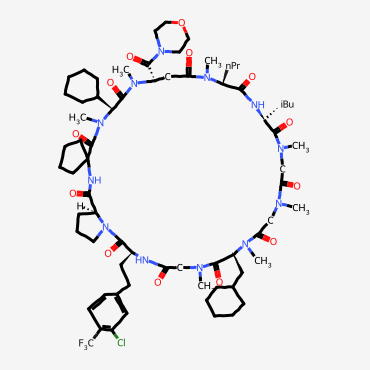 CCC[C@H]1C(=O)N[C@@H]([C@@H](C)CC)C(=O)N(C)CC(=O)N(C)CC(=O)N(C)[C@@H](CC2CCCCC2)C(=O)N(C)CC(=O)N[C@@H](CCc2ccc(C(F)(F)F)c(Cl)c2)C(=O)N2CCC[C@H]2C(=O)NC2(CCCC2)C(=O)N(C)[C@@H](C2CCCCC2)C(=O)N(C)[C@H](C(=O)N2CCOCC2)CC(=O)N1C